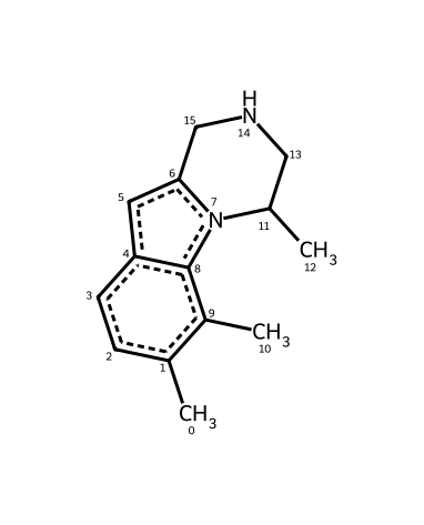 Cc1ccc2cc3n(c2c1C)C(C)CNC3